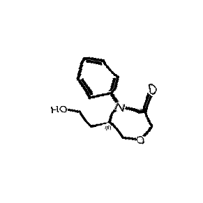 O=C1COC[C@@H](CCO)N1c1ccccc1